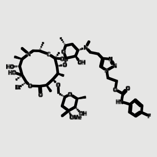 CC[C@H]1OC(=O)[C@H](C)[C@@H](OC[C@H]2C[C@@](C)(OC)[C@@H](O)[C@H](C)O2)[C@H](C)[C@@H](O[C@@H]2O[C@H](C)C[C@H](N(C)CCc3cn(CCOC(=O)Nc4ccc(F)cc4)nn3)[C@H]2O)[C@](C)(O)C[C@@H](C)CN(C)[C@H](C)[C@@H](O)[C@]1(C)O